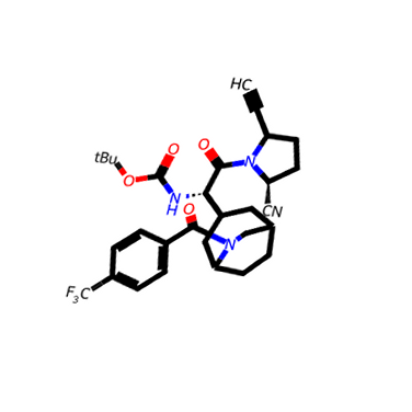 C#CC1CC[C@@H](C#N)N1C(=O)[C@@H](NC(=O)OC(C)(C)C)C1CC2CCC(C1)N(C(=O)c1ccc(C(F)(F)F)cc1)C2